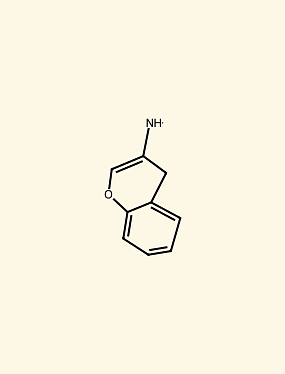 [NH]C1=COc2ccccc2C1